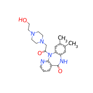 Cc1cc2c(cc1C)N(C(=O)CN1CCN(CCO)CC1)c1ncccc1C(=O)N2